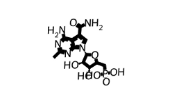 Cc1nc(N)c2c(C(N)=O)cn([C@@H]3OC(CP(=O)(O)O)[C@@H](O)[C@H]3O)c2n1